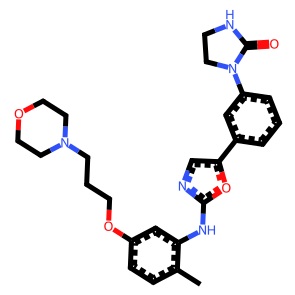 Cc1ccc(OCCCN2CCOCC2)cc1Nc1ncc(-c2cccc(N3CCNC3=O)c2)o1